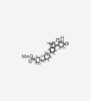 COC(=O)N1CCN(CC2CCN(c3ccc4c(C5CCC(=O)NC5=O)nn(C)c4c3)CC2)CC1